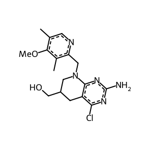 COc1c(C)cnc(CN2CC(CO)Cc3c(Cl)nc(N)nc32)c1C